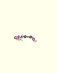 C[C@H](OC1CCCCO1)c1nccn1Cc1coc(-c2ccc(C#Cc3ccc(CN4CCC(O)CC4)cc3)cc2)n1